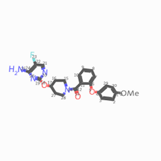 COc1ccc(Oc2ccccc2C(=O)N2CCC(Oc3ncc(F)c(N)n3)CC2)cc1